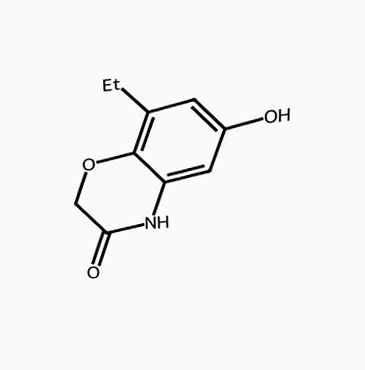 CCc1cc(O)cc2c1OCC(=O)N2